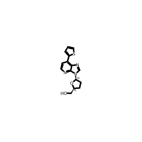 OC[C@@H]1CC[C@H](n2cnc3c(-c4cccs4)ccnc32)O1